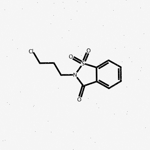 O=C1c2ccccc2S(=O)(=O)N1CCCCl